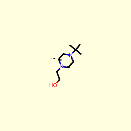 C[C@@H]1CN(C(C)(C)C)CCN1CCO